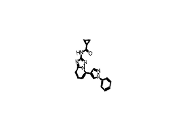 O=C(Nc1nc2cccc(-c3cnn(-c4ccccc4)c3)n2n1)C1CC1